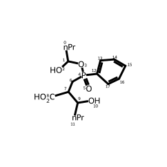 CCCC(O)OP(=O)(CC(C(=O)O)C(O)CCC)c1ccccc1